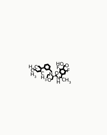 C/C=C(\C(C)=C/CC)c1cccc(CN2CCOC[C@@H]2C(=O)NC(C)c2cc(F)c(C(=O)O)c(F)c2)c1